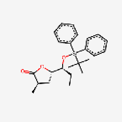 CC[C@H](O[Si](c1ccccc1)(c1ccccc1)C(C)(C)C)[C@@H]1C[C@@H](C)C(=O)O1